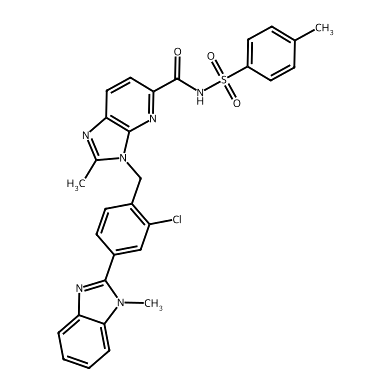 Cc1ccc(S(=O)(=O)NC(=O)c2ccc3nc(C)n(Cc4ccc(-c5nc6ccccc6n5C)cc4Cl)c3n2)cc1